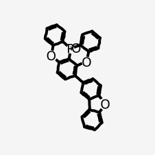 O=P12c3ccccc3Oc3ccc(-c4ccc5oc6ccccc6c5c4)c(c31)Oc1ccccc12